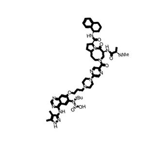 CN[C@@H](C)C(=O)N[C@H]1CN(C(=O)c2cnc(N3CCN(CCCOc4cc5ncnc(Nc6n[nH]c(C)c6C)c5cc4N(S(=O)O)C(C)(C)C)CC3)cn2)CCC2CC[C@@H](C(=O)N[C@H]3CCCc4ccccc43)N2C1=O